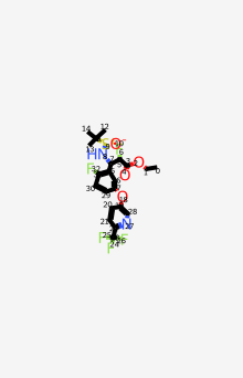 CCOC(=O)C(F)C(N[S@+]([O-])C(C)(C)C)c1cc(Oc2ccc(C(F)(F)F)nc2)ccc1F